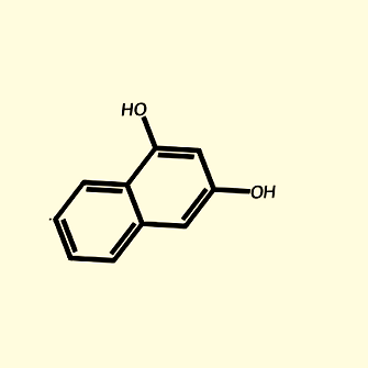 Oc1cc(O)c2c[c]ccc2c1